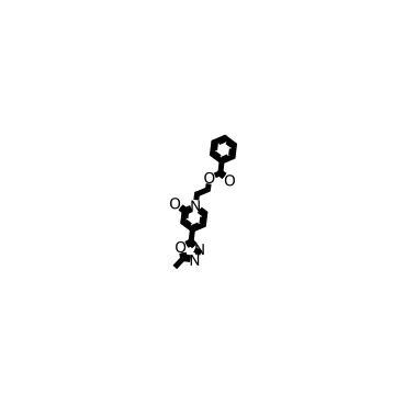 Cc1nnc(-c2ccn(CCOC(=O)c3ccccc3)c(=O)c2)o1